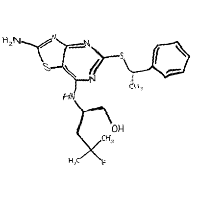 C[C@H](Sc1nc(N[C@@H](CO)CC(C)(C)F)c2sc(N)nc2n1)c1ccccc1